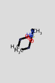 CCCCCCCC/C=C\CCCCCCCC(=O)OCCCN(CCCOC(=O)CCCCCCC/C=C\CCCCCCCC)C(=S)NCCCN1CCCCC1C